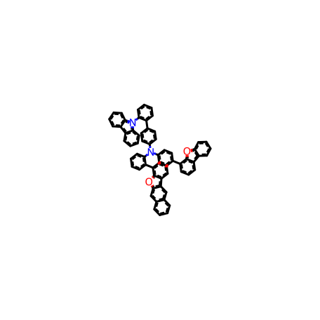 c1ccc(N(c2ccc(-c3ccccc3-n3c4ccccc4c4ccccc43)cc2)c2ccc(-c3cccc4c3oc3ccccc34)cc2)c(-c2cccc3c2oc2cc4ccccc4cc23)c1